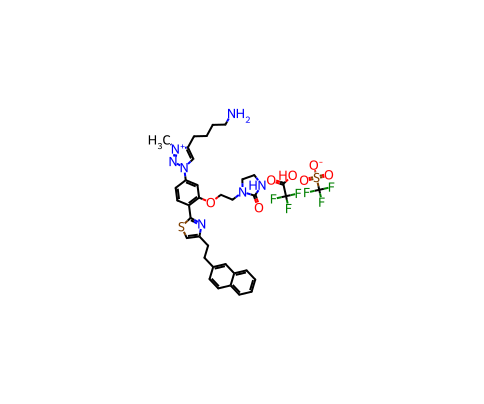 C[n+]1nn(-c2ccc(-c3nc(CCc4ccc5ccccc5c4)cs3)c(OCCN3CCNC3=O)c2)cc1CCCCN.O=C(O)C(F)(F)F.O=S(=O)([O-])C(F)(F)F